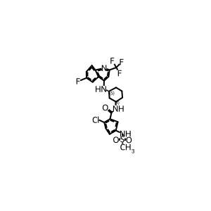 CS(=O)(=O)Nc1ccc(Cl)c(C(=O)N[C@@H]2CCC[C@H](Nc3cc(C(F)(F)F)nc4ccc(F)cc34)C2)c1